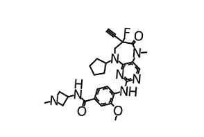 C#CC1(F)CN(C2CCCC2)c2nc(Nc3ccc(C(=O)NC4CN(C)C4)cc3OC)ncc2N(C)C1=O